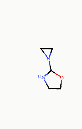 C1COC(N2CC2)N1